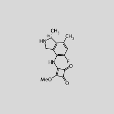 COc1c(Nc2c(F)cc(C)c3c2CN[C@@H]3C)c(=O)c1=O